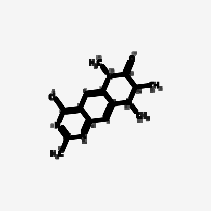 Cc1nc(Cl)c2cc3c(cc2n1)N(C)C(C)C(=O)N3C